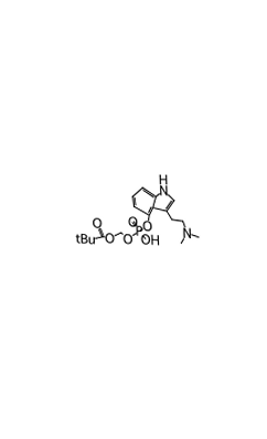 CN(C)CCc1c[nH]c2cccc(OP(=O)(O)OCOC(=O)C(C)(C)C)c12